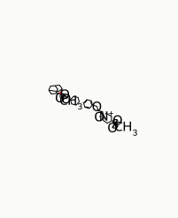 COC1(OO[C@H]2CC[C@@H](c3ccc(OCC[N+]4([O-])CCC(S(C)(=O)=O)CC4)cc3)CC2)C2CC3CC(C2)CC1C3